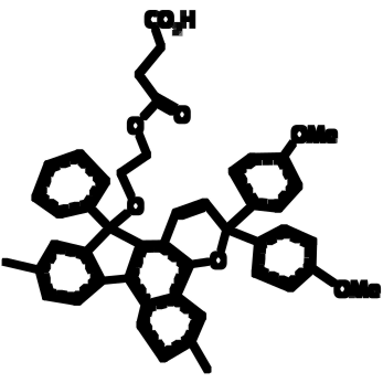 COc1ccc(C2(c3ccc(OC)cc3)C=Cc3c4c(c5ccc(C)cc5c3O2)-c2ccc(C)cc2C4(OCCOC(=O)CCC(=O)O)c2ccccc2)cc1